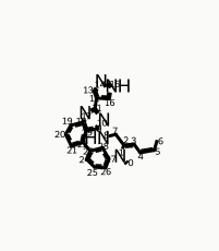 C=N/C(=C\C=C/C)CNc1nc(-c2cn[nH]c2)nc2cccc(-c3ccccc3)c12